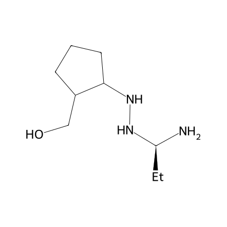 CC[C@H](N)NNC1CCCC1CO